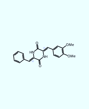 COc1ccc(/C=c2\[nH]c(=O)/c(=C/c3ccccc3)[nH]c2=O)cc1OC